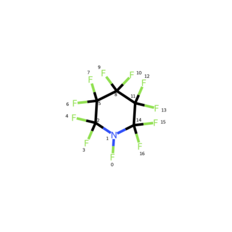 FN1C(F)(F)C(F)(F)C(F)(F)C(F)(F)C1(F)F